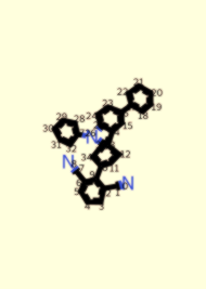 N#Cc1cccc(C#N)c1-c1ccc2c3cc(-c4ccccc4)ccc3n(-c3ccccc3)c2c1